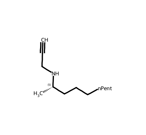 C#CCN[C@@H](C)CCCCCCCC